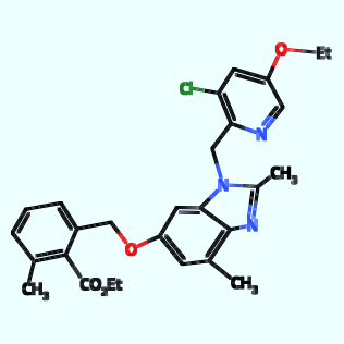 CCOC(=O)c1c(C)cccc1COc1cc(C)c2nc(C)n(Cc3ncc(OCC)cc3Cl)c2c1